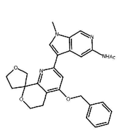 CC(=O)Nc1cc2c(-c3cc(OCc4ccccc4)c4c(n3)C3(CCOC3)OCC4)cn(C)c2cn1